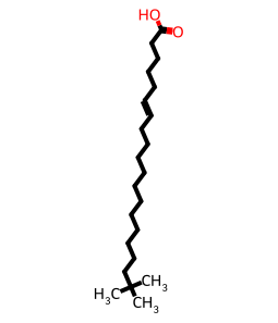 CC(C)(C)CCCCCCCCCCCC=CCCCCC(=O)O